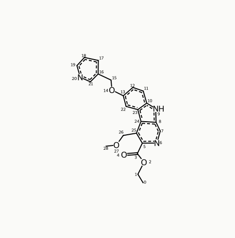 CCOC(=O)c1ncc2[nH]c3ccc(OCc4cccnc4)cc3c2c1COC